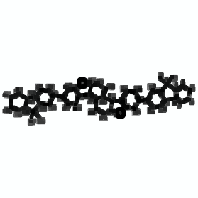 CC1(C)c2ccccc2-c2ccc(-c3ccc4c(c3)OC3C=CC5=C6c7ccc(-c8ccc9c(c8)C(C)(C)C8C=CC=CC98)cc7OC6CC=C5C43)cc21